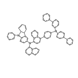 C1=CC2c3cc(N(c4cccc5ccccc45)c4ccc(-c5ccc(N(c6ccc(-c7ccccc7)cc6)c6cccc(-c7ccccc7)c6)cc5)c5ccccc45)ccc3N(c3ccccc3)C2C=C1